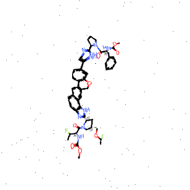 COC(=O)N[C@H](C(=O)N1C[C@@H](COC(C)F)C[C@H]1c1nc2ccc3cc4c(cc3c2[nH]1)COc1cc(-c2cnc(C3CCCN3C(=O)[C@H](NC(=O)OC)c3ccccc3)[nH]2)ccc1-4)C(C)F